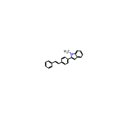 Cn1c(-c2ccc(C=Cc3ccccc3)cc2)cc2ccccc21